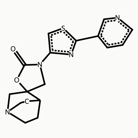 O=C1OC2(CN3CCC2CC3)CN1c1csc(-c2cccnc2)n1